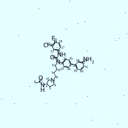 CC(=O)N[C@@H]1CCN(CCCCN(C(=O)Nc2ccc(F)c(Cl)c2)c2ccc(-c3cccc(N)c3)cc2)C1